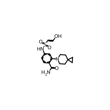 NC(=O)c1ccc(NS(=O)(=O)C=CO)cc1N1CCC2(CC1)CC2